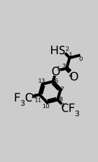 CC(S)C(=O)Oc1cc(C(F)(F)F)cc(C(F)(F)F)c1